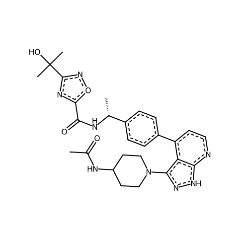 CC(=O)NC1CCN(c2n[nH]c3nccc(-c4ccc([C@@H](C)NC(=O)c5nc(C(C)(C)O)no5)cc4)c23)CC1